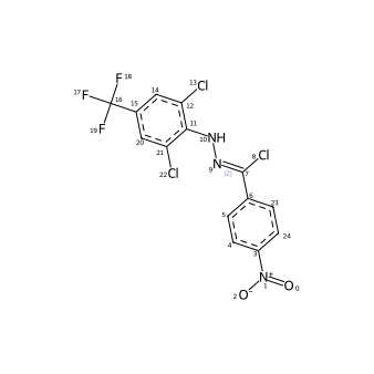 O=[N+]([O-])c1ccc(/C(Cl)=N/Nc2c(Cl)cc(C(F)(F)F)cc2Cl)cc1